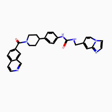 O=C(NCc1ccn2ccnc2c1)Nc1ccc(C2CCN(C(=O)c3ccc4ccncc4c3)CC2)cc1